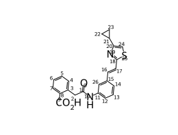 O=C(Cc1ccccc1C(=O)O)Nc1cccc(/C=C/c2nc(C3CC3)cs2)c1